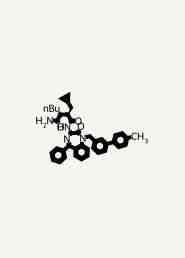 CCCC[C@H](C(N)=O)[C@@H](CC1CC1)C(=O)NC1N=C(c2ccccc2)c2ccccc2N(Cc2cccc(-c3ccc(C)cc3)c2)C1=O